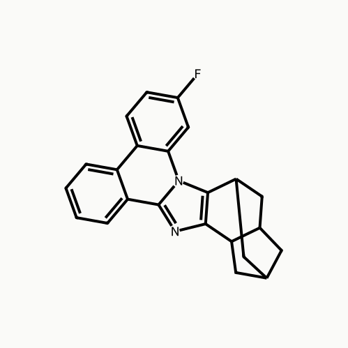 Fc1ccc2c3ccccc3c3nc4c(n3c2c1)C1CC2CC(C1)C4C2